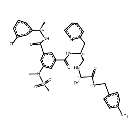 CC[C@H](NC[C@H](Cc1ccccn1)NC(=O)c1cc(C(=O)N[C@H](C)c2cccc(Cl)c2)cc(N(C)S(C)(=O)=O)c1)C(=O)NCc1ccc(N)cc1